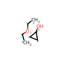 CCOCC.OC1CC1